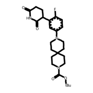 CC(C)(C)OC(=O)N1CCC2(CC1)CCN(c1ccc(F)c(C3CCC(=O)NC3=O)c1)CC2